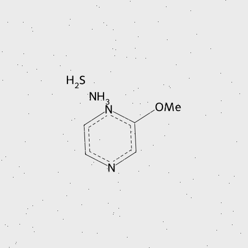 COc1cnccn1.N.S